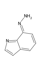 NN=C1C=CC=C2C=CN=C21